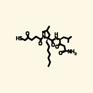 CCCCCCC[C@@](CC(C)C)(NC(=O)CCC(=O)CS)C(=O)N[C@@H](CC(C)C)C(=O)CC(N)=O